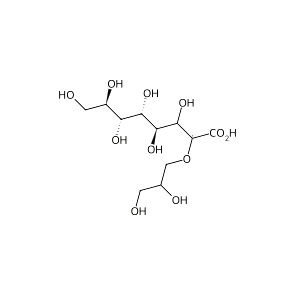 O=C(O)[C](OCC(O)CO)C(O)[C@@H](O)[C@@H](O)[C@H](O)[C@H](O)CO